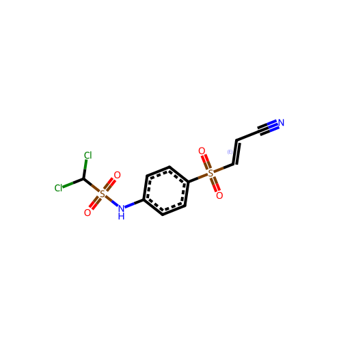 N#C/C=C/S(=O)(=O)c1ccc(NS(=O)(=O)C(Cl)Cl)cc1